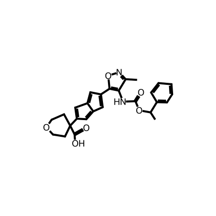 Cc1noc(C2=CC3=CC(C4(C(=O)O)CCOCC4)=CC3=C2)c1NC(=O)OC(C)c1ccccc1